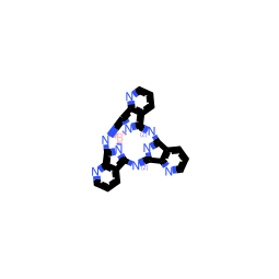 CB1n2c3c4cccnc4c2N=c2c4ncccc4/c(n21)=N/C1=NC(=N\3)/c2ncccc21